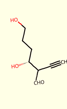 C#CC(C=O)[C@H](O)CCCO